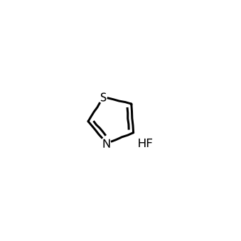 F.c1cscn1